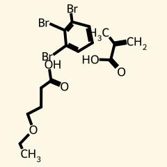 Brc1cccc(Br)c1Br.C=C(C)C(=O)O.CCOCCCC(=O)O